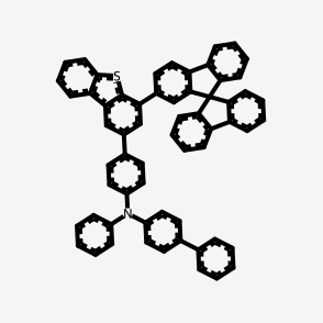 c1ccc(-c2ccc(N(c3ccccc3)c3ccc(-c4cc(-c5ccc6c(c5)C5(c7ccccc7-c7ccccc75)c5ccccc5-6)c5sc6ccccc6c5c4)cc3)cc2)cc1